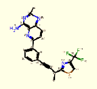 Cc1nc(N)c2nc(-c3cccc(C#C[C@H](C)c4nc(C(F)(F)F)cs4)c3)ccc2n1